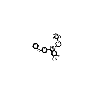 CC(C)(C)OC(=O)N1CCCC(n2nc(-c3ccc(Oc4ccccc4)cc3)c3cc(C#N)c(F)cc32)C1